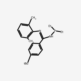 CCP(CC)N/C(=N/c1c(C)cccc1C)c1ccc(C(C)(C)C)cc1